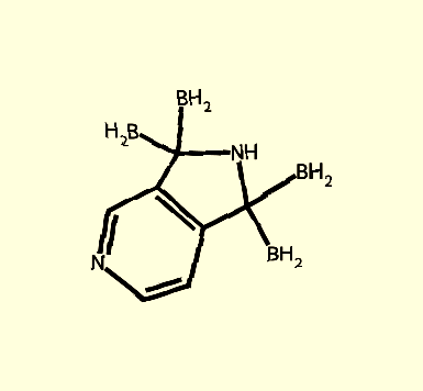 BC1(B)NC(B)(B)c2cnccc21